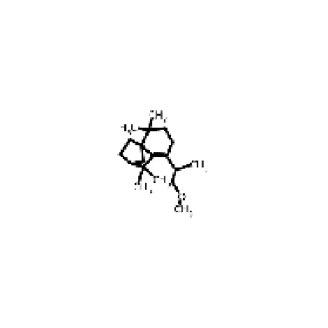 COCC(C)C1=C2C(C)(C)C3CCC2(C3)C(C)(C)CC1